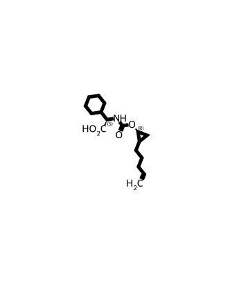 C=CCCCC1C[C@H]1OC(=O)N[C@H](C(=O)O)C1CCCCC1